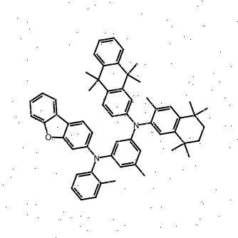 Cc1cc(N(c2ccc3c(c2)oc2ccccc23)c2ccccc2C)cc(N(c2ccc3c(c2)C(C)(C)c2ccccc2C3(C)C)c2cc3c(cc2C)C(C)(C)CCC3(C)C)c1